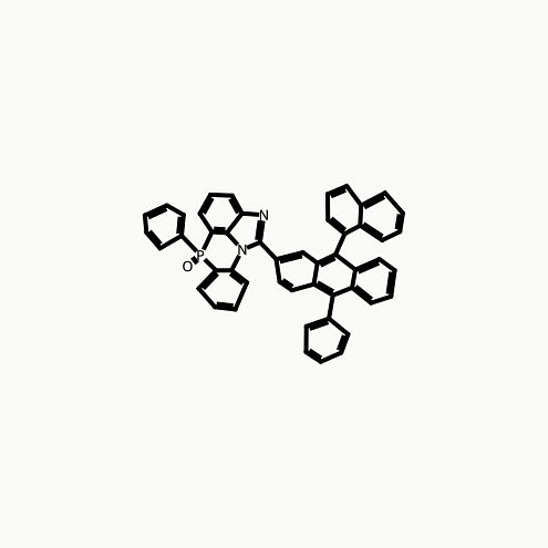 O=P1(c2ccccc2)c2ccccc2-n2c(-c3ccc4c(-c5ccccc5)c5ccccc5c(-c5cccc6ccccc56)c4c3)nc3cccc1c32